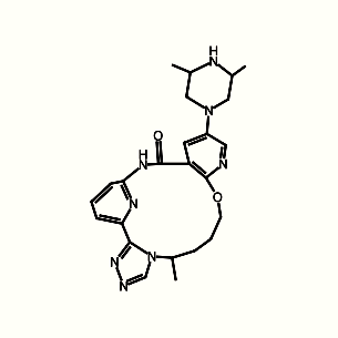 CC1CN(c2cnc3c(c2)C(=O)Nc2cccc(n2)-c2nncn2C(C)CCCO3)CC(C)N1